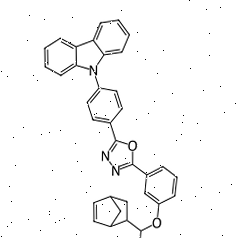 CC(Oc1cccc(-c2nnc(-c3ccc(-n4c5ccccc5c5ccccc54)cc3)o2)c1)C1CC2C=CC1C2